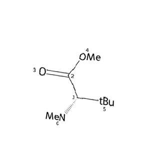 CN[C@H](C(=O)OC)C(C)(C)C